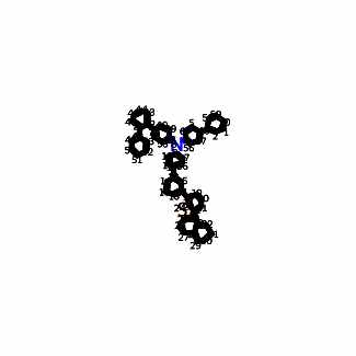 c1ccc(-c2ccc(N(c3ccc(-c4cccc(-c5cccc6c5sc5ccc7ccccc7c56)c4)cc3)c3ccc(-c4ccccc4-c4ccccc4)cc3)cc2)cc1